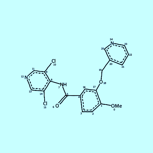 COc1ccc(C(=O)Nc2c(Cl)cncc2Cl)cc1OCc1cccnc1